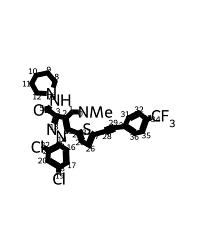 CNCc1c(C(=O)NN2CCCCC2)nn(-c2ccc(Cl)cc2Cl)c1-c1ccc(C#Cc2ccc(C(F)(F)F)cc2)s1